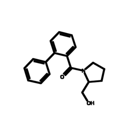 O=C(c1ccccc1-c1ccccc1)N1CCCC1CO